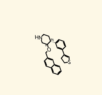 C1=C(c2cccc([C@H]3CCNC[C@@H]3OCc3ccc4ccccc4c3)c2)CCS1